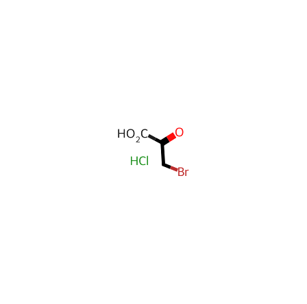 Cl.O=C(O)C(=O)CBr